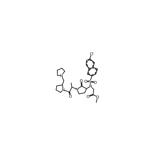 COC(=O)CN(C1CCN(C(C)C(=O)N2CCCC2CN2CCCC2)C1=O)S(=O)(=O)c1ccc2cc(Cl)ccc2c1